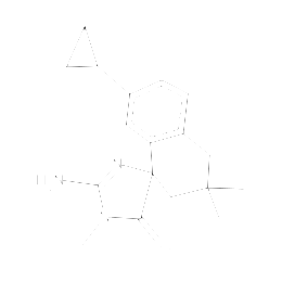 CN1C(=O)C2(CC(C)(C)Cc3ccc(C4CC4)cc32)N=C1N